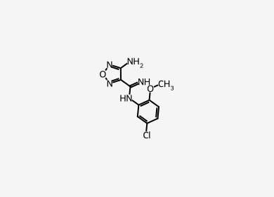 COc1ccc(Cl)cc1NC(=N)c1nonc1N